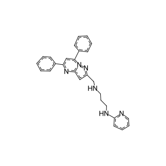 c1ccc(-c2cc(-c3ccccc3)n3nc(CNCCCNc4ccccn4)cc3n2)cc1